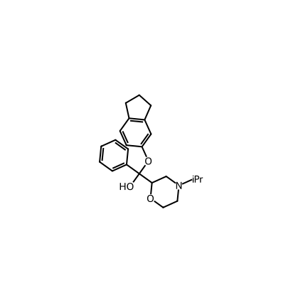 CC(C)N1CCOC(C(O)(Oc2ccc3c(c2)CCC3)c2ccccc2)C1